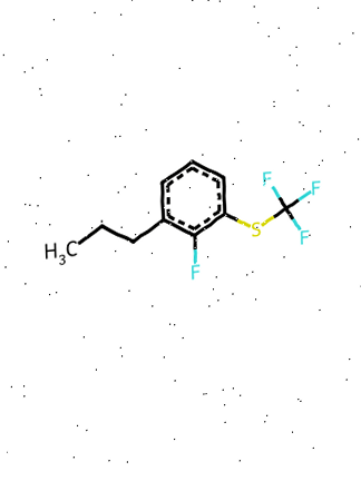 C[CH]Cc1cccc(SC(F)(F)F)c1F